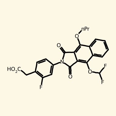 CCCOc1c2c(c(OC(F)F)c3ccccc13)C(=O)N(c1ccc(CC(=O)O)c(F)c1)C2=O